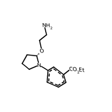 CCOC(=O)c1cccc(N2CCC[C@@H]2OCCN)c1